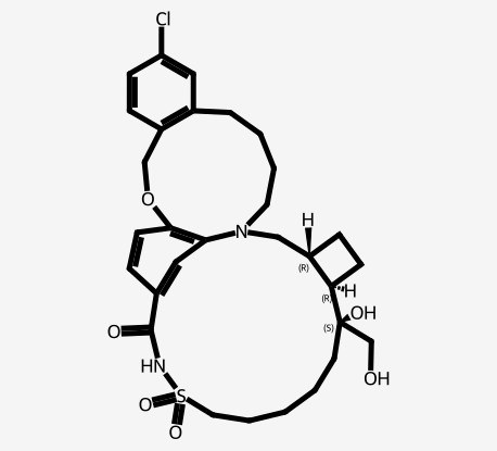 O=C1NS(=O)(=O)CCCCC[C@@](O)(CO)[C@@H]2CC[C@H]2CN2CCCCc3cc(Cl)ccc3COc3ccc1cc32